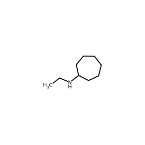 CCN[C]1CCCCCC1